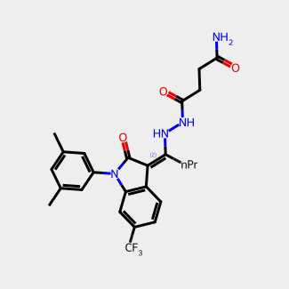 CCC/C(NNC(=O)CCC(N)=O)=C1/C(=O)N(c2cc(C)cc(C)c2)c2cc(C(F)(F)F)ccc21